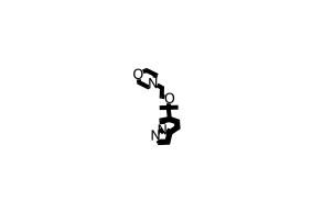 CC(C)(OCCN1CCOCC1)c1ccc2ccnn2c1